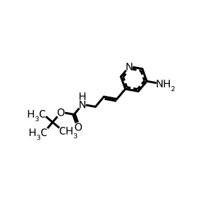 CC(C)(C)OC(=O)NCC=Cc1cncc(N)c1